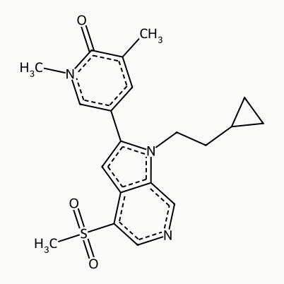 Cc1cc(-c2cc3c(S(C)(=O)=O)cncc3n2CCC2CC2)cn(C)c1=O